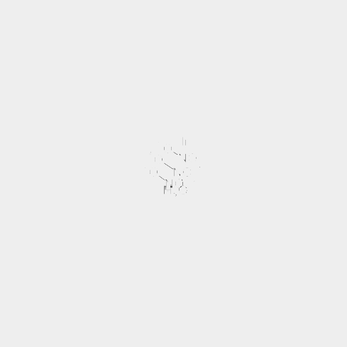 O.O=[N+]([O-])[O-].O=[N+]([O-])[O-].O=[N+]([O-])[O-].[Ir+3]